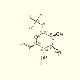 C=C[C@H]1O[C@H](CC(C)(C)C)[C@@H](O)[C@@H](O)[C@@H]1O